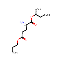 CCCCCCCCCCCCOC(=O)CC[C@H](N)C(=O)OC(CCCCCCCC)CCCCCCCCCCC